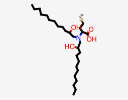 CCCCCCCCCCC(O)CN(CC(O)CCCCCCCCCC)C(CCSC)C(=O)O